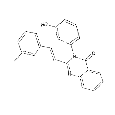 Cc1cccc(/C=C/c2nc3ccccc3c(=O)n2-c2cccc(O)c2)c1